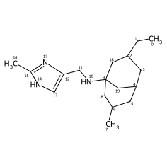 CCC1CC2CC(C)CC(NCc3c[nH]c(C)n3)(C1)C2